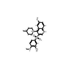 COc1ccc(S(=O)(=O)c2cnc3ccc(F)cc3c2N2CCC(C)CC2)cc1Cl